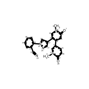 Cn1cc(-c2cc(=O)n(C)cc2-c2cnn(-c3ccccc3C#N)c2)ccc1=O